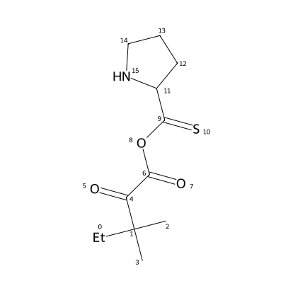 CCC(C)(C)C(=O)C(=O)OC(=S)C1CCCN1